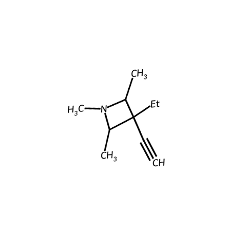 C#CC1(CC)C(C)N(C)C1C